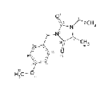 CCN1C(=O)N(Cc2ccc(OC)cc2)C(=O)C1C